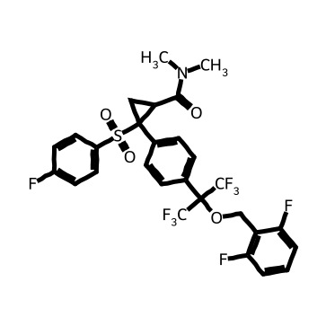 CN(C)C(=O)C1CC1(c1ccc(C(OCc2c(F)cccc2F)(C(F)(F)F)C(F)(F)F)cc1)S(=O)(=O)c1ccc(F)cc1